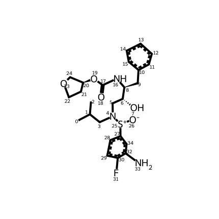 CC(C)CN(C[C@@H](O)[C@H](Cc1ccccc1)NC(=O)O[C@H]1CCOC1)[S+]([O-])c1ccc(F)c(N)c1